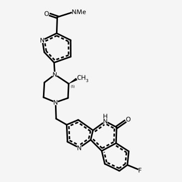 CNC(=O)c1ccc(N2CCN(Cc3cnc4c(c3)[nH]c(=O)c3cc(F)ccc34)C[C@@H]2C)cn1